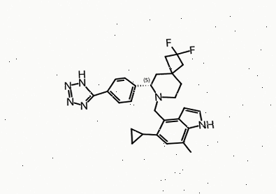 Cc1cc(C2CC2)c(CN2CCC3(C[C@H]2c2ccc(-c4nnn[nH]4)cc2)CC(F)(F)C3)c2cc[nH]c12